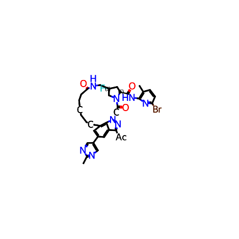 CC(=O)c1nn2c3c(cc(-c4cnc(C)nc4)cc13)CCCCCCC(=O)NC[C@@]1(F)C[C@@H](C(=O)Nc3nc(Br)ccc3C)N(C1)C(=O)C2